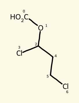 O=C(O)OC(Cl)CCCl